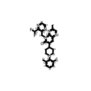 Cc1cnc2cc(C3CCN(c4c(C)cccc4F)CC3)c(=O)n(Cc3nccnc3C(F)F)c2n1